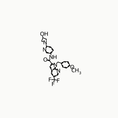 COc1ccc(Cn2c(C(=O)Nc3ccc(N4CC(O)C4)nc3)cc3cc(C(F)(F)F)cnc32)cc1